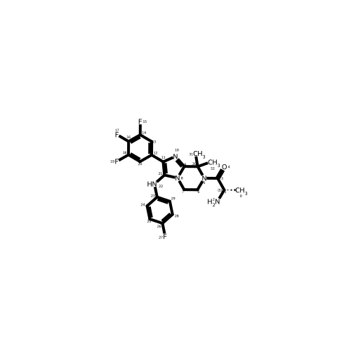 C[C@H](N)C(=O)N1CCn2c(nc(-c3cc(F)c(F)c(F)c3)c2Nc2ccc(F)cc2)C1(C)C